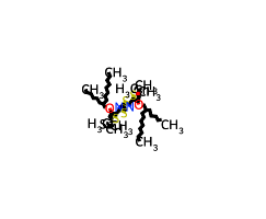 CCCCCCCCC(CCCCCC)COc1c[c]([Sn]([CH3])([CH3])[CH3])sc1-c1nc2sc(-c3s[c]([Sn]([CH3])([CH3])[CH3])cc3OCC(CCCCCC)CCCCCCCC)nc2s1